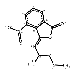 CSCC(C)/N=C1\OC(=O)c2cccc([N+](=O)[O-])c21